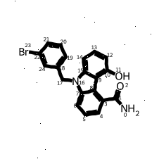 NC(=O)c1cccc2c1c1c(O)cccc1n2Cc1cccc(Br)c1